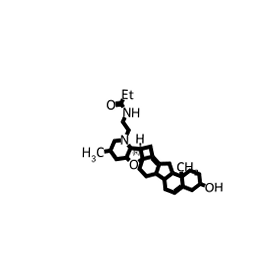 CCC(=O)NCCN1CC(C)CC2OC34CCC5C(=C3C[C@@H]4C21)CC1C5CC=C2CC(O)CCC21C